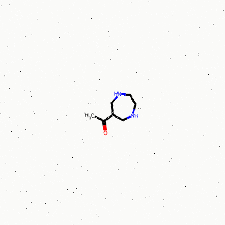 CC(=O)C1CNCCNC1